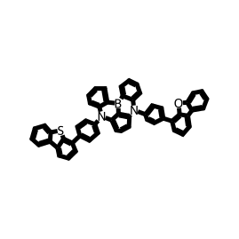 c1ccc2c(c1)B1c3ccccc3N(c3ccc(-c4cccc5c4sc4ccccc45)cc3)c3cccc(c31)N2c1ccc(-c2cccc3c2oc2ccccc23)cc1